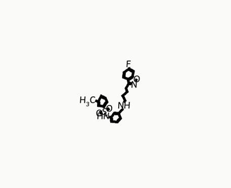 Cc1cccc(S(=O)(=O)Nc2cccc(CNCCCCc3noc4cc(F)ccc34)c2)c1